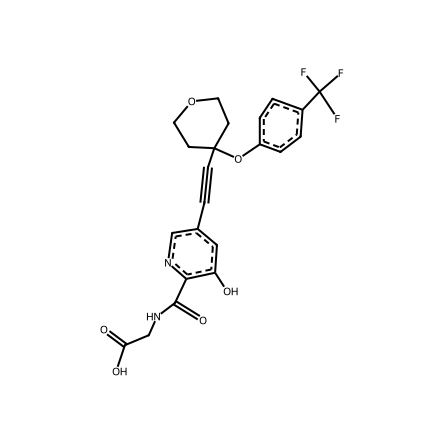 O=C(O)CNC(=O)c1ncc(C#CC2(Oc3ccc(C(F)(F)F)cc3)CCOCC2)cc1O